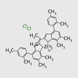 CCC1=Cc2c(-c3ccc(C)cc3C)cc(C)c(C)c2[CH]1[Zr+2]1([CH]2C(CC)=Cc3c(-c4ccc(C)cc4C)cc(C)c(C)c32)[CH2][CH2]1.[Cl-].[Cl-]